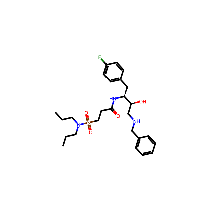 CCCN(CCC)S(=O)(=O)CCC(=O)N[C@@H](Cc1ccc(F)cc1)[C@@H](O)CNCc1ccccc1